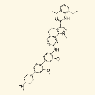 CCc1cccc(CC)c1NC(=O)c1nn(C)c2c1CCc1cnc(Nc3ccc(-c4ccc(N5CCC(N(C)C)CC5)cc4OC)cc3OC)nc1-2